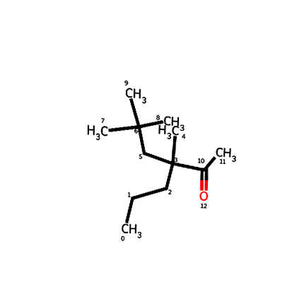 CCCC(C)(CC(C)(C)C)C(C)=O